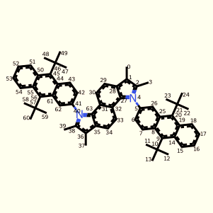 Cc1c(C)n(-c2ccc3c(C(C)(C)C)c4ccccc4c(C(C)(C)C)c3c2)c2c1ccc1c2ccc2c(C)c(C)n(-c3ccc4c(C(C)(C)C)c5ccccc5c(C(C)(C)C)c4c3)c21